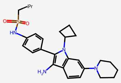 CC(C)CS(=O)(=O)Nc1ccc(-c2c(N)c3ccc(N4CCCCC4)cc3n2C2CCC2)cc1